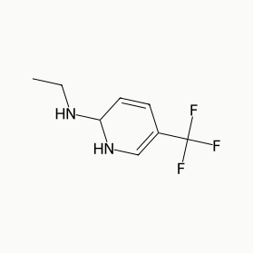 CCNC1C=CC(C(F)(F)F)=CN1